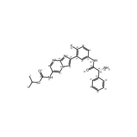 CC(C)OC(=O)Nc1cnc2nc(-c3cc(NC(=O)[C@H](N)c4ccccc4)ccc3F)cn2c1